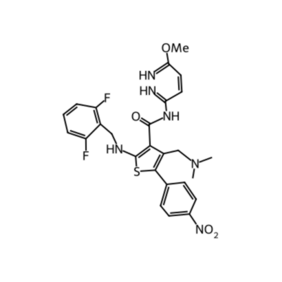 COC(=N)/C=C\C(=N)NC(=O)c1c(NCc2c(F)cccc2F)sc(-c2ccc([N+](=O)[O-])cc2)c1CN(C)C